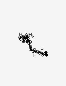 CSSCOC1[C@H](n2cc(C#CCNC(=O)OCCCCOCSSC(C)(C)CCOC(=O)NCCOCCOCCNC(=O)OCC3c4ccccc4-c4ccccc43)c3c(=O)[nH]c(N)nc32)CO[C@@H]1CO[PH](=O)O